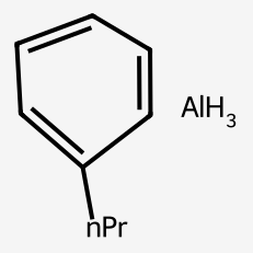 CCCc1ccccc1.[AlH3]